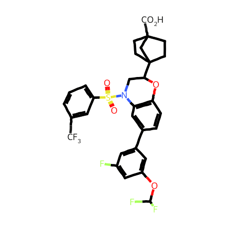 O=C(O)C12CCC(C3CN(S(=O)(=O)c4cccc(C(F)(F)F)c4)c4cc(-c5cc(F)cc(OC(F)F)c5)ccc4O3)(CC1)C2